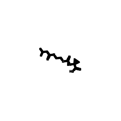 CC(C)CC(=O)OCCOC(=O)NC1(C(=O)O)CC1